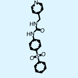 O=C(NCc1ccncc1)Nc1ccc(S(=O)(=O)c2ccccc2)cc1